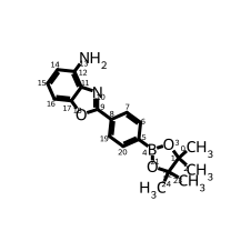 CC1(C)OB(c2ccc(-c3nc4c(N)cccc4o3)cc2)OC1(C)C